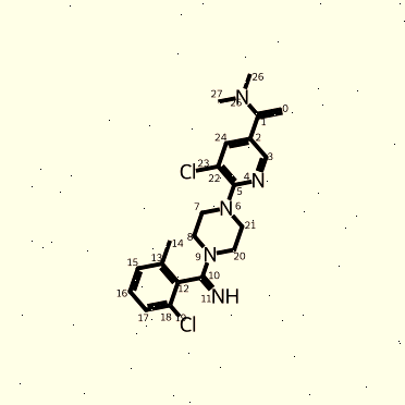 C=C(c1cnc(N2CCN(C(=N)c3c(C)cccc3Cl)CC2)c(Cl)c1)N(C)C